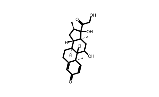 C[C@@H]1C[C@H]2[C@@H]3CCC4=CC(=O)C=C[C@]4(C)C3(Cl)C(O)C[C@]2(C)[C@@]1(O)C(=O)CO